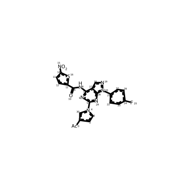 CC(=O)c1ccn(-c2nc(NC(=O)c3ccc([N+](=O)[O-])s3)c3cnn(-c4ccc(F)cc4)c3n2)c1